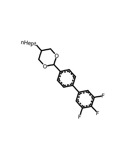 CCCCCCCC1COC(c2ccc(-c3cc(F)c(F)c(F)c3)cc2)OC1